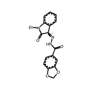 CCN1C(=O)/C(=N\NC(=O)c2ccc3c(c2)OCO3)c2ccccc21